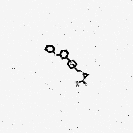 CCNC(=O)[C@@H]1C[C@H]1CCC12CCC(c3cccc(Oc4ccccc4)c3)(CC1)OC2